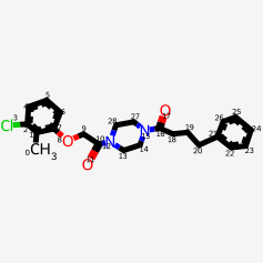 Cc1c(Cl)cccc1OCC(=O)N1CCN(C(=O)CCCc2ccccc2)CC1